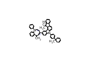 C=C1/C=C(c2ccc3c(c2)c2c4c(ccc2n3-c2ccc(C3(C)C=CC=CC3)cc2)-c2ccccc2C4(C)C)\C=C/N(c2ccccc2)c2ccccc21